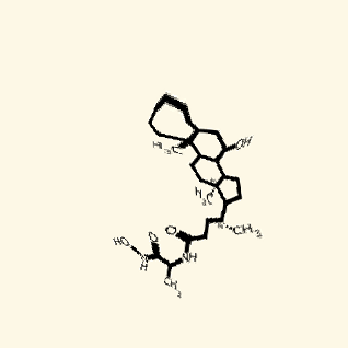 CC(NC(=O)CC[C@@H](C)C1CCC2C3C(O)CC4CCCCC4(C)C3CC[C@@]21C)C(=O)NO